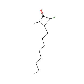 CC1C(=O)C(Cl)C1CCCCCCCC(=O)O